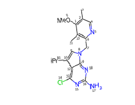 COc1c(C)cnc(Cn2cc(C(C)C)c3c(Cl)nc(N)nc32)c1C